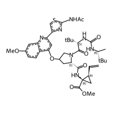 C=C[C@H]1C[C@]1(NC(=O)[C@@H]1CC(Oc2cc(-c3csc(NC(C)=O)n3)nc3cc(OC)ccc23)CN1C(=O)[C@@H](NC(=O)N[C@H](C)C(C)(C)C)C(C)(C)C)C(=O)OC